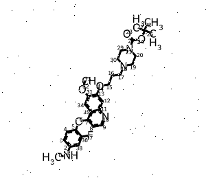 CNc1ccc(Oc2ccnc3cc(OCCCN4CCN(C(=O)OC(C)(C)C)CC4)c(OC)cc23)c(F)c1